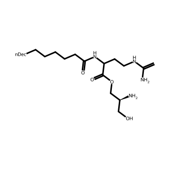 C=C(N)NCCC(NC(=O)CCCCCCCCCCCCCCC)C(=O)OC[C@@H](N)CO